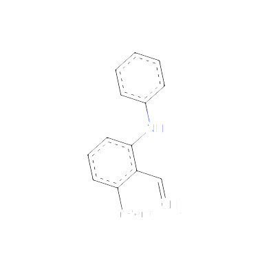 C=Cc1c(CCCCC)cccc1Nc1ccccc1